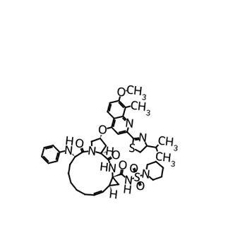 COc1ccc2c(O[C@@H]3C[C@H]4C(=O)N[C@]5(C(=O)NS(=O)(=O)N6CCCCC6)C[C@H]5/C=C\CCCCC[C@H](Nc5ccccc5)C(=O)N4C3)cc(C3=NC(C(C)C)CS3)nc2c1C